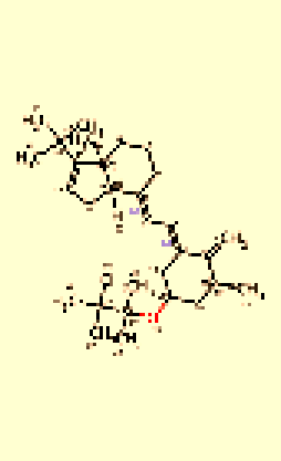 C=C1/C(=C/C=C2\CCC[C@]3(C)C(C(C)(C)C)=CC[C@@H]23)CC(O[Si](C)(C)C(C)(C)C)C[C@@H]1C